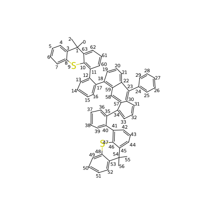 CC1(C)c2ccccc2Sc2c(-c3ccccc3-c3cccc4c(-c5ccccc5)c5cccc(-c6ccccc6-c6cccc7c6Sc6ccccc6C7(C)C)c5cc34)cccc21